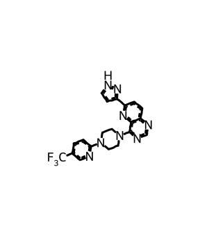 FC(F)(F)c1ccc(N2CCN(c3ncnc4ccc(-c5cc[nH]n5)nc34)CC2)nc1